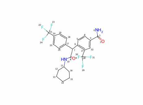 NC(=O)c1ccc(C(C(=O)NC2CCCCC2)c2ccc(C(F)(F)F)cc2)c(C(F)(F)F)c1